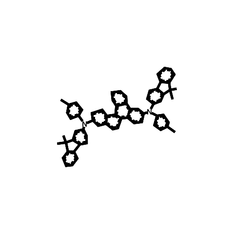 Cc1ccc(N(c2ccc3c(c2)C(C)(C)c2ccccc2-3)c2ccc3c(ccc4c5ccc(N(c6ccc(C)cc6)c6ccc7c(c6)C(C)(C)c6ccccc6-7)cc5c5ccccc5c34)c2)cc1